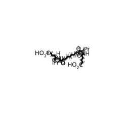 CC(C)[C@H](NC(=O)CCCC(=O)O)C(=O)NCCCCCCNC(=O)[C@@H](NC(=O)CCCC(=O)O)C(C)C